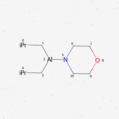 CC(C)[CH2][Al]([CH2]C(C)C)[N]1CCOCC1